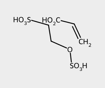 C=CC(=O)O.O=S(=O)(O)CCOS(=O)(=O)O